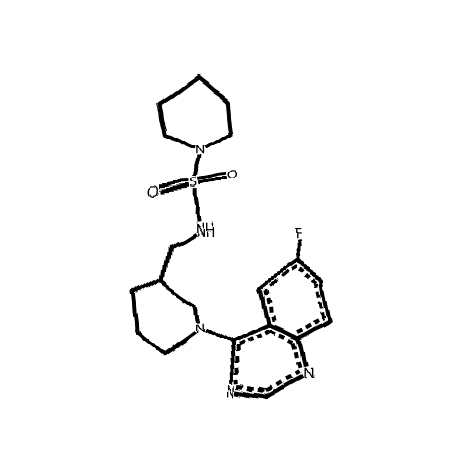 O=S(=O)(NCC1CCCN(c2ncnc3ccc(F)cc23)C1)N1CCCCC1